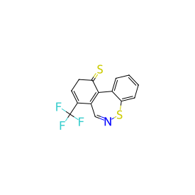 FC(F)(F)C1=CCC(=S)C2=C1C=NSc1ccccc12